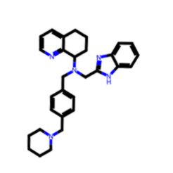 c1cnc2c(c1)CCCC2N(Cc1ccc(CN2CCCCC2)cc1)Cc1nc2ccccc2[nH]1